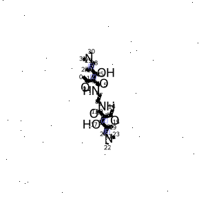 CC(=O)/C(C(=O)NCCNC(=O)/C(C(C)=O)=C(O)/C(C)=C/N(C)C)=C(O)\C(C)=C\N(C)C